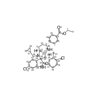 CCOC(=O)c1ccc([C@H]2CC[C@H]3[C@@H](N2)[C@H](c2cccc(Cl)c2F)[C@]2(C(=O)Nc4cc(Cl)ccc42)N3CC2CC2)cc1